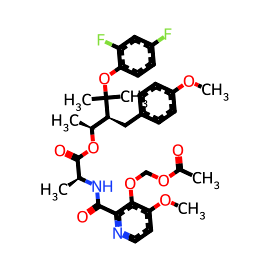 COc1ccc(C[C@@H]([C@H](C)OC(=O)[C@H](C)NC(=O)c2nccc(OC)c2OCOC(C)=O)C(C)(C)Oc2ccc(F)cc2F)cc1